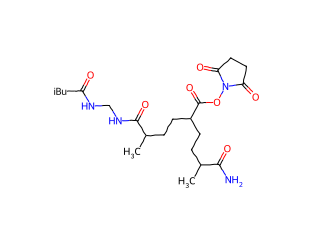 CCC(C)C(=O)NCNC(=O)C(C)CCC(CCC(C)C(N)=O)C(=O)ON1C(=O)CCC1=O